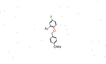 COc1ccc(COc2ccc(F)cc2C(C)=O)cc1